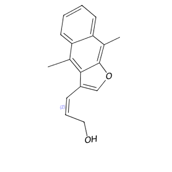 Cc1c2ccccc2c(C)c2c(/C=C\CO)coc12